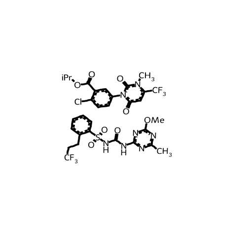 CC(C)OC(=O)c1cc(-n2c(=O)cc(C(F)(F)F)n(C)c2=O)ccc1Cl.COc1nc(C)nc(NC(=O)NS(=O)(=O)c2ccccc2CCC(F)(F)F)n1